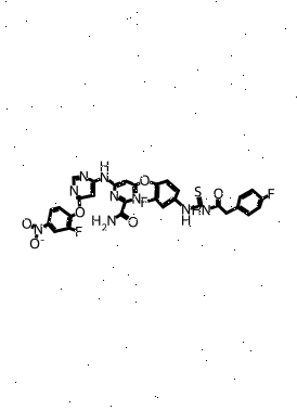 NC(=O)c1nc(Nc2cc(Oc3ccc([N+](=O)[O-])cc3F)ncn2)cc(Oc2ccc(NC(=S)NC(=O)Cc3ccc(F)cc3)cc2F)n1